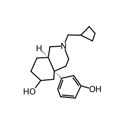 Oc1cccc([C@@]23CCN(CC4CCC4)C[C@@H]2CCC(O)C3)c1